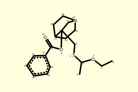 CCOC(C)SCC1(OC(=O)c2ccccc2)CN2CCC1CC2